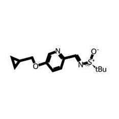 CC(C)(C)[S@@+]([O-])N=Cc1ccc(OCC2CC2)cn1